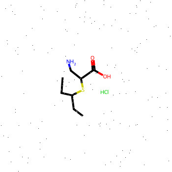 CCC(CC)SC(CN)C(=O)O.Cl